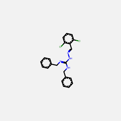 Clc1cccc(Cl)c1C=NNC(=NCc1ccccc1)NCc1ccccc1